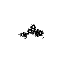 NC(=O)[C@@H](NC(=O)C1CCCCC1c1ccc(CNC(=O)O)cc1)c1ccccc1